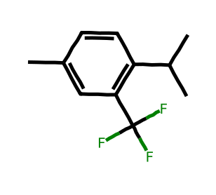 Cc1ccc(C(C)C)c(C(F)(F)F)c1